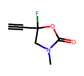 C#CC1(F)CN(C)C(=O)O1